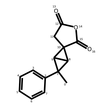 CC1(c2ccccc2)C2C1C21CC(=O)OC1=O